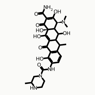 CC1CN(C(=O)Nc2ccc3c(c2O)C(=O)C2=C(O)[C@]4(O)C(=O)C(C(N)=O)=C(O)[C@@H](N(C)C)C4C(O)C2C3C)CCN1